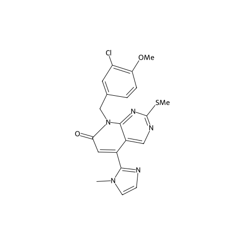 COc1ccc(Cn2c(=O)cc(-c3nccn3C)c3cnc(SC)nc32)cc1Cl